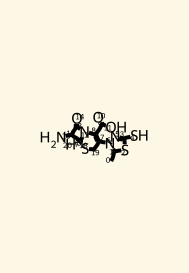 CC1SC(S)=NN1C1=C(C(=O)O)N2C(=O)C(N)[C@@H]2SC1